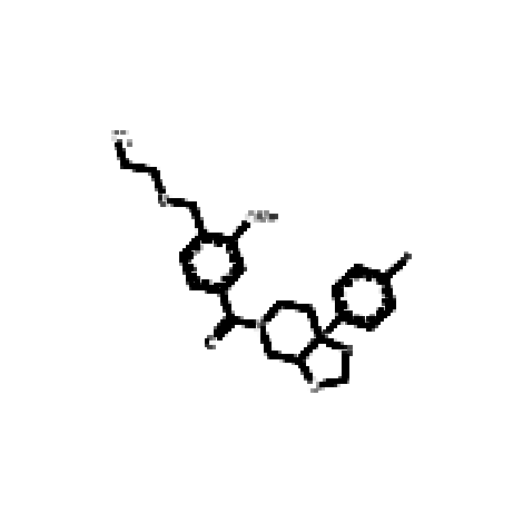 COc1cc(C(=O)N2CC[C@]3(c4ccc(F)cc4)OCOC3C2)ccc1COCCC(F)(F)F